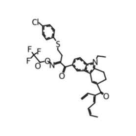 C=C/C(=C\C=C/C)C(=O)C1=Cc2c(n(CC)c3ccc(C(=O)/C(CCSc4ccc(Cl)cc4)=N/OC(=O)C(F)(F)F)cc23)CC1